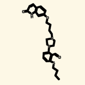 CCCCSc1cccc(N2CCN(CCCCOc3ccc4ccc(=O)[nH]c4c3)CC2)c1C=O